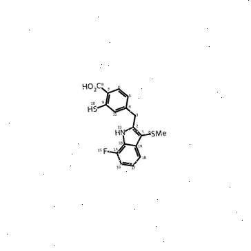 CSc1c(Cc2ccc(C(=O)O)c(S)c2)[nH]c2c(F)cccc12